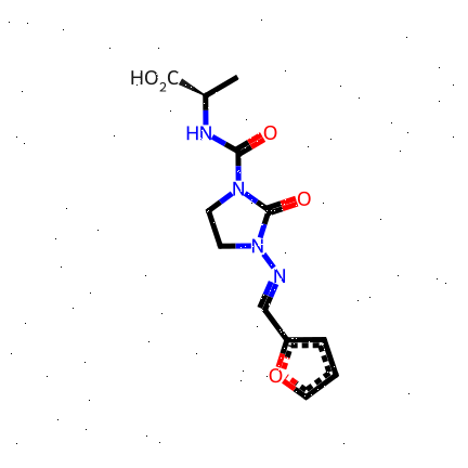 C[C@@H](NC(=O)N1CCN(/N=C/c2ccco2)C1=O)C(=O)O